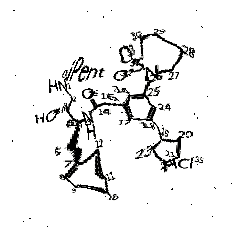 CCCC(C)NC[C@@H](O)[C@H](Cc1ccccc1)NC(=O)c1cc(C2CCCC2)cc(N2CCCCS2(=O)=O)c1.Cl